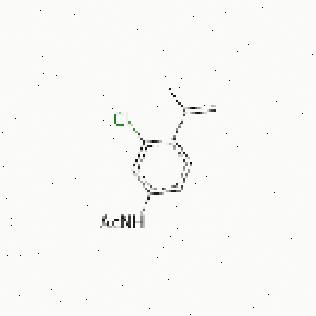 C=C(C)c1ccc(NC(C)=O)cc1Cl